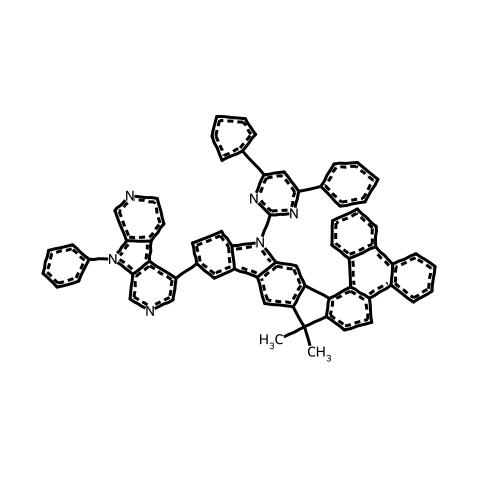 CC1(C)c2cc3c4cc(-c5cncc6c5c5ccncc5n6-c5ccccc5)ccc4n(-c4nc(-c5ccccc5)cc(-c5ccccc5)n4)c3cc2-c2c1ccc1c3ccccc3c3ccccc3c21